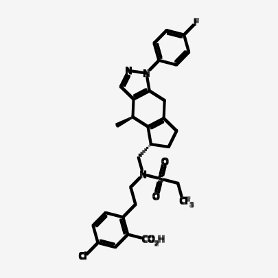 C[C@@H]1C2=C(CC[C@@H]2CN(CCc2ccc(Cl)cc2C(=O)O)S(=O)(=O)CC(F)(F)F)Cc2c1cnn2-c1ccc(F)cc1